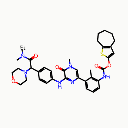 CCN(C)C(=O)C(c1ccc(Nc2nc(-c3cccc(NC(=O)Oc4cc5c(s4)CCCCC5)c3C)cn(C)c2=O)cc1)N1CCOCC1